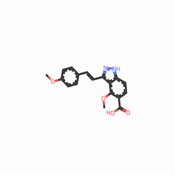 COc1ccc(C=Cc2n[nH]c3ccc(C(=O)O)c(OC)c23)cc1